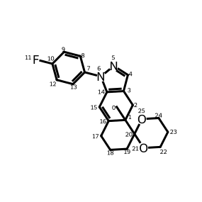 CC12Cc3cnn(-c4ccc(F)cc4)c3C=C1CCCC21OCCCO1